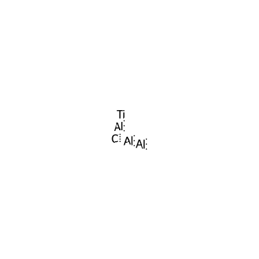 [Al].[Al].[Al].[C].[Ti]